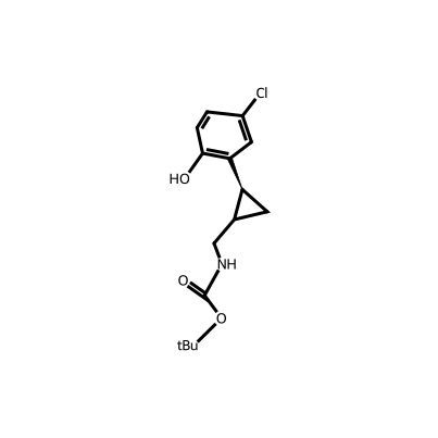 CC(C)(C)OC(=O)NCC1C[C@@H]1c1cc(Cl)ccc1O